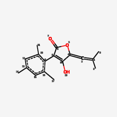 CC(C)=C=C1OC(=O)C(c2c(C)cc(C)cc2C)=C1O